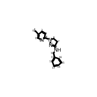 Ic1ccc(N2CCC(NCc3ccccc3)=N2)nc1